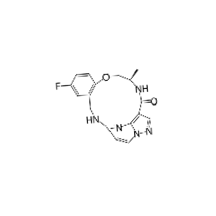 C[C@@H]1COc2ccc(F)cc2CNc2ccn3ncc(c3n2)C(=O)N1